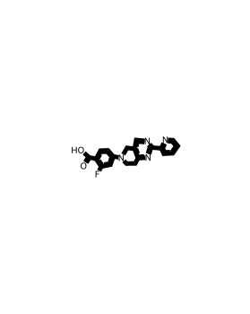 O=C(O)c1ccc(N2CCc3nc(-c4ccccn4)ncc3C2)cc1F